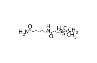 CC(C)(C)SSCCC(=O)NCCCCCC(N)=O